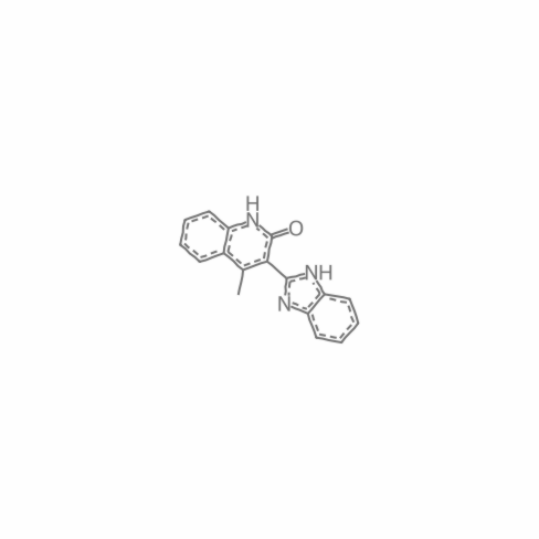 Cc1c(-c2nc3ccccc3[nH]2)c(=O)[nH]c2ccccc12